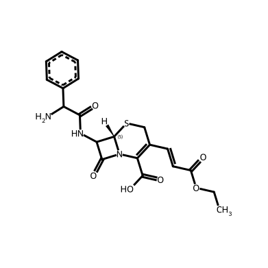 CCOC(=O)C=CC1=C(C(=O)O)N2C(=O)C(NC(=O)C(N)c3ccccc3)[C@@H]2SC1